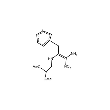 COC(CNC(Cc1cccnc1)=C(N)[N+](=O)[O-])OC